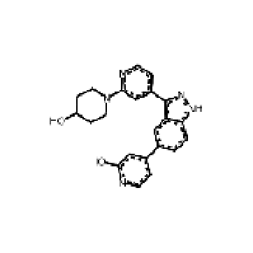 Oc1cc(-c2ccc3[nH]nc(-c4ccnc(N5CCC(O)CC5)c4)c3c2)ccn1